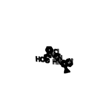 CN1CCc2c(cc(Nc3ncc(Cl)c(N4CC(CC(=O)O)c5ccccc54)n3)cc2C2CC2)C1